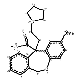 COc1ccc2c(c1)C(CCN1CCCC1)(C(N)=O)c1ccccc1CO2